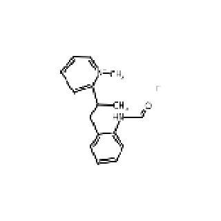 CC(Cc1ccccc1NC=O)c1cccc[n+]1C.[I-]